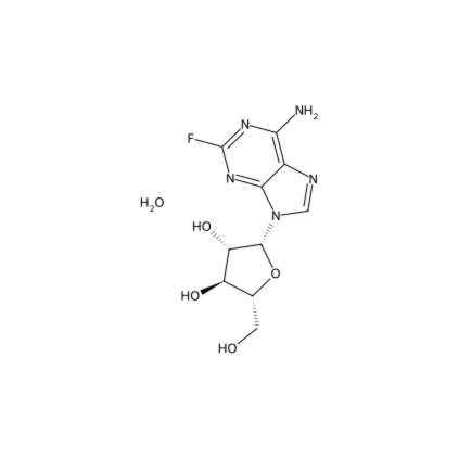 Nc1nc(F)nc2c1ncn2[C@@H]1O[C@H](CO)[C@@H](O)[C@@H]1O.O